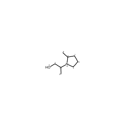 CC(CO)N1CCCC1C